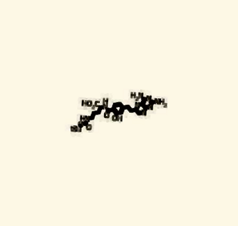 CC(C)(C)OC(=O)NCCC[C@H](NC(=O)c1ccc(CCc2cnc3nc(N)nc(N)c3n2)cc1O)C(=O)O